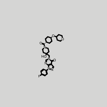 O=c1c2cnn(-c3ccc(F)cc3)c2ncn1CC1(O)CCN(C(=O)[C@H]2CC[C@H](OC3CCOCC3)CC2)CC1